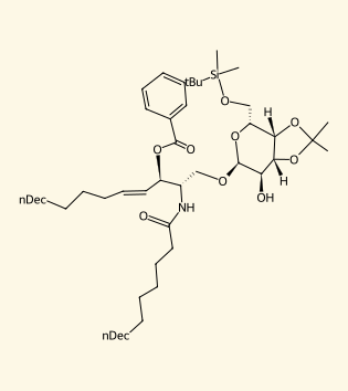 CCCCCCCCCCCCC/C=C/[C@@H](OC(=O)c1ccccc1)[C@H](CO[C@H]1O[C@H](CO[Si](C)(C)C(C)(C)C)[C@@H]2OC(C)(C)O[C@@H]2[C@H]1O)NC(=O)CCCCCCCCCCCCCCC